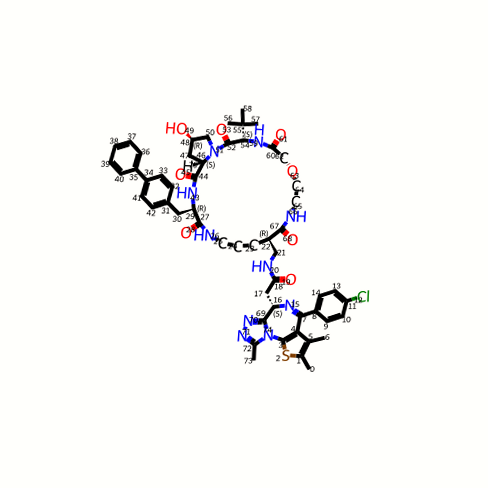 Cc1sc2c(c1C)C(c1ccc(Cl)cc1)=N[C@@H](CC(=O)NC[C@H]1CCCNC(=O)[C@@H](Cc3ccc(-c4ccccc4)cc3)NC(=O)[C@@H]3C[C@@H](O)CN3C(=O)[C@H](C(C)(C)C)NC(=O)COCCNC1=O)c1nnc(C)n1-2